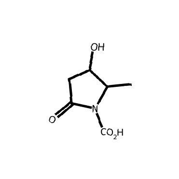 CC1C(O)CC(=O)N1C(=O)O